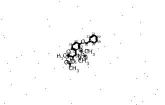 CC(=O)O[C@@H]1[C@@H](N(C)S(C)(=O)=O)c2cc(OCc3ccccc3)ccc2OC1(C)C